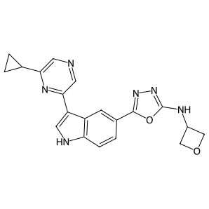 c1cc2[nH]cc(-c3cncc(C4CC4)n3)c2cc1-c1nnc(NC2COC2)o1